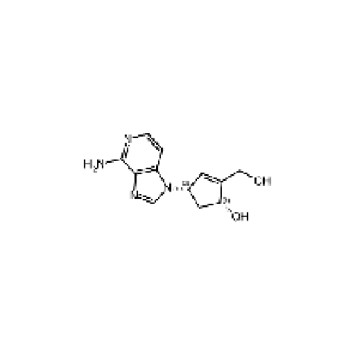 Nc1nccc2c1ncn2[C@@H]1C=C(CO)[C@H](O)C1